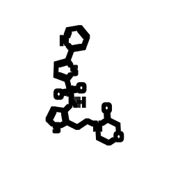 O=C1COCCN1CCc1sccc1NS(=O)(=O)c1ccc(-c2ccccn2)s1